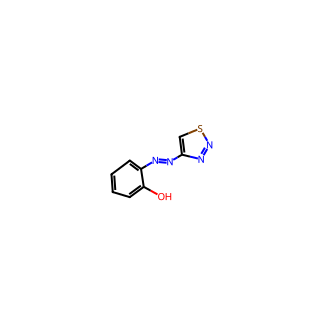 Oc1ccccc1N=Nc1csnn1